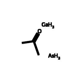 CC(C)=O.[AsH3].[GaH3]